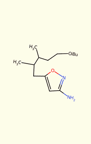 CC(C)COCCC(C)C(C)Cc1cc(N)no1